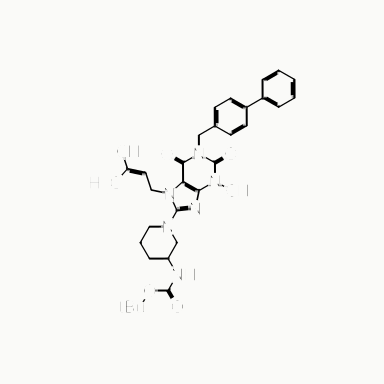 CC(C)=CCn1c(N2CCCC(NC(=O)OC(C)(C)C)C2)nc2c1c(=O)n(Cc1ccc(-c3ccccc3)cc1)c(=O)n2C